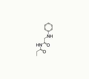 CCC(=O)NC(=O)CNc1ccccc1